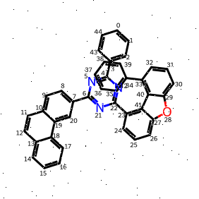 c1ccc(-c2nc(-c3ccc4ccc5ccccc5c4c3)nc(-c3cccc4oc5cccc(-c6ccccc6)c5c34)n2)cc1